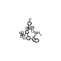 CCS(=O)(=O)Nc1cc2oc(-c3ccc(F)cc3)c(C(=O)NC)c2cc1-c1cccc(-c2cc3ccccc3n2CCN)c1